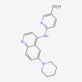 O=C(O)c1ccc(Nc2ccnc3ccc(N4CCCCC4)cc23)nc1